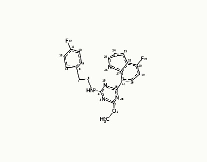 COc1nc(NCCc2ccc(F)cc2)nc(-c2ccc(F)c3cccnc23)n1